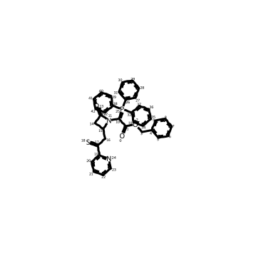 O=C(OCc1ccccc1)C(N1C(=O)CC1CC(=S)c1ccccn1)=P(c1ccccc1)(c1ccccc1)c1ccccc1